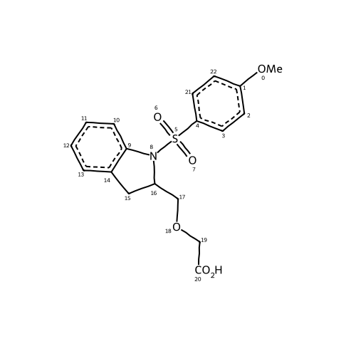 COc1ccc(S(=O)(=O)N2c3ccccc3CC2COCC(=O)O)cc1